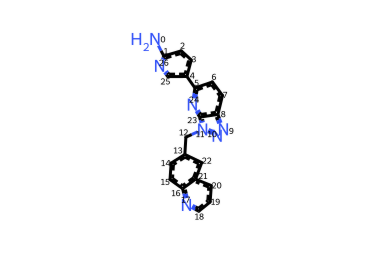 Nc1ccc(-c2ccc3nnn(Cc4ccc5ncccc5c4)c3n2)cn1